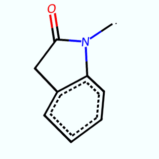 [CH2]N1C(=O)Cc2ccccc21